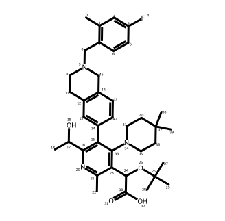 Cc1cc(F)ccc1CN1CCc2cc(-c3c(C(C)O)nc(C)c(C(OC(C)(C)C)C(=O)O)c3N3CCC(C)(C)CC3)ccc2C1